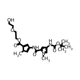 CC1C=C(NC(=O)c2cc(NC(=O)OC(C)(C)C)cn2C)C=C1C(=O)OCCOCCO